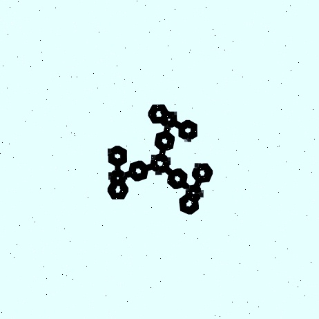 c1cncc(-c2nc3ccccc3n2-c2ccc(-c3nc(-c4ccc(-n5c(-c6cccnc6)nc6ccccc65)cc4)nc(-c4ccc(-n5c(-c6cccnc6)nc6ccccc65)cc4)n3)cc2)c1